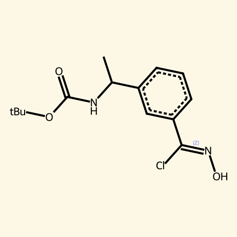 CC(NC(=O)OC(C)(C)C)c1cccc(/C(Cl)=N/O)c1